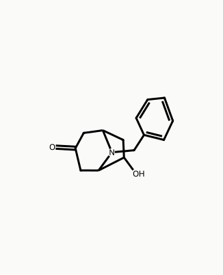 O=C1CC2CC(O)C(C1)N2Cc1ccccc1